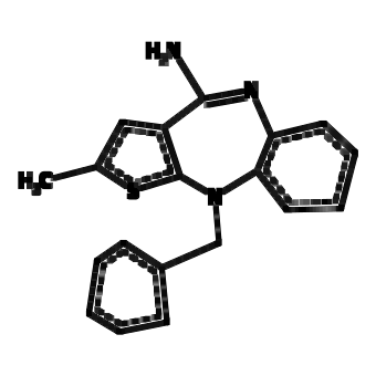 Cc1cc2c(s1)N(Cc1ccccc1)c1ccccc1N=C2N